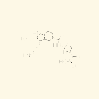 CCN(O)C(=O)c1csc(NC(=O)c2ccc3[nH]c(C(=O)O)c(CCCN)c3c2)n1